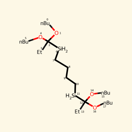 CCCCOC(CC)(OCCCC)[SiH2]CCCC[SiH2]C(CC)(OCCCC)OCCCC